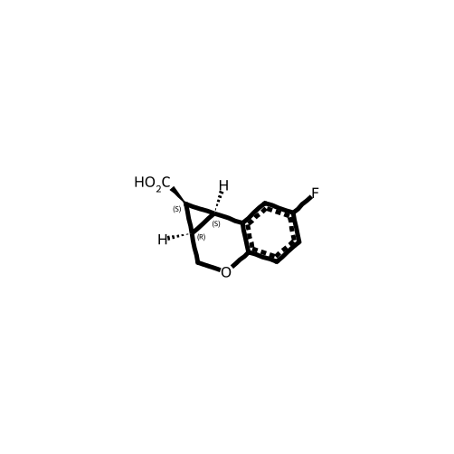 O=C(O)[C@@H]1[C@@H]2COc3ccc(F)cc3[C@@H]21